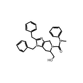 CN(C(=O)N1Cc2nc(Cc3ccccc3)n(Cc3ccccc3)c2CC1CO)c1ccccc1